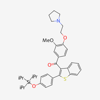 COc1cc(C(=O)c2c(-c3ccc(O[Si](C(C)C)(C(C)C)C(C)C)cc3)sc3ccccc23)ccc1OCCN1CCCC1